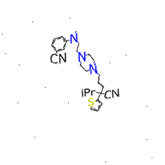 CC(C)C(C#N)(CCCN1CCN(CCN(C)c2cccc(C#N)c2)CC1)c1cccs1